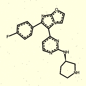 Fc1ccc(-c2nc3occn3c2-c2ccnc(N[C@@H]3CCCNC3)n2)cc1